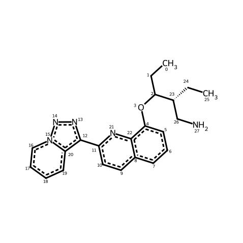 CCC(Oc1cccc2ccc(-c3nnn4ccccc34)nc12)[C@H](CC)CN